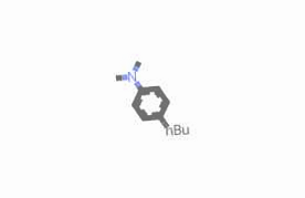 CCCCc1ccc(N(C)C)cc1